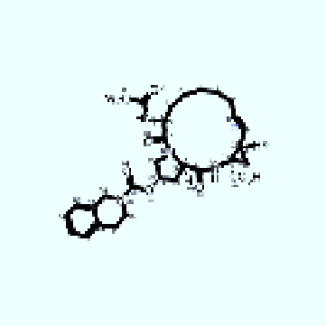 COC(=O)N[C@H]1CCCCC/C=C/[C@@H]2C[C@@]2(C(=O)O)NC(=O)[C@@H]2C[C@@H](OC(=O)N3CCc4ccccc4C3)CN2C1=O